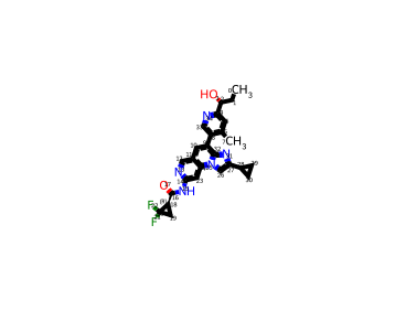 CCC(O)c1cc(C)c(-c2cc3cnc(NC(=O)[C@H]4CC4(F)F)cc3n3cc(C4CC4)nc23)cn1